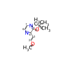 COC=Cc1nccnc1OC(C)(C)C